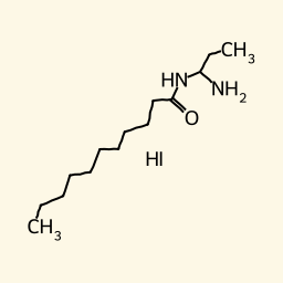 CCCCCCCCCCC(=O)NC(N)CC.I